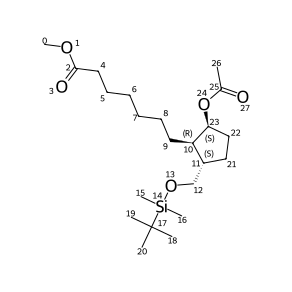 COC(=O)CCCCCC[C@@H]1[C@@H](CO[Si](C)(C)C(C)(C)C)CC[C@@H]1OC(C)=O